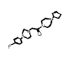 O=C(CN1CCN(c2ccc(F)cc2)CC1)N1CCN(C2CCCC2)CC1